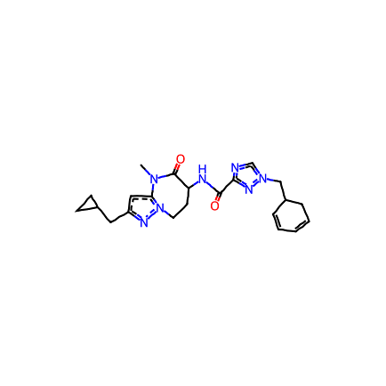 CN1C(=O)C(NC(=O)c2ncn(CC3C=CC=CC3)n2)CCn2nc(CC3CC3)cc21